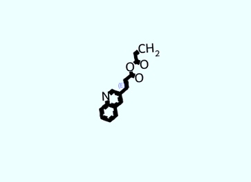 C=CC(=O)OC(=O)/C=C/c1cnc2ccccc2c1